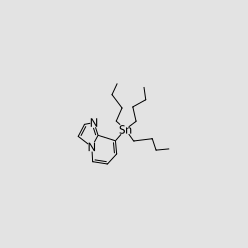 CCC[CH2][Sn]([CH2]CCC)([CH2]CCC)[c]1cccn2ccnc12